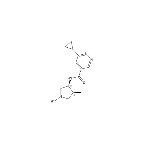 CC(C)N1C[C@H](C)[C@H](NC(=O)c2cnnc(C3CC3)c2)C1